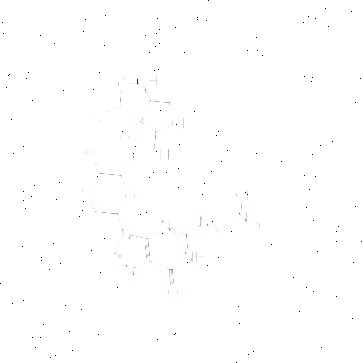 CC(C)[Si](OCC(C=O)OC(C=O)n1cnc2c(=O)[nH]c(/N=C/N(C)C)nc21)(C(C)C)C(C)C